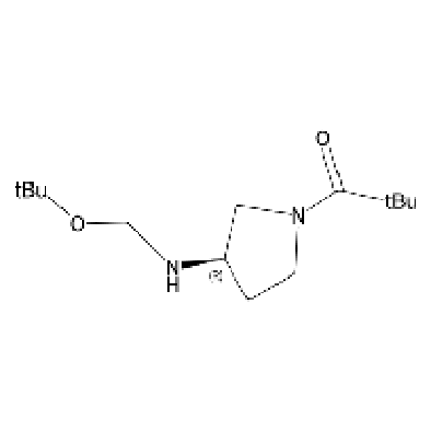 CC(C)(C)OCN[C@@H]1CCN(C(=O)C(C)(C)C)C1